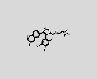 Cc1cnc2ccc(-c3ncn(COCC[Si](C)(C)C)c3-c3cc(Cl)c(F)cc3F)cc2c1